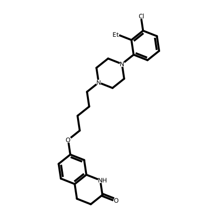 CCc1c(Cl)cccc1N1CCN(CCCCOc2ccc3c(c2)NC(=O)CC3)CC1